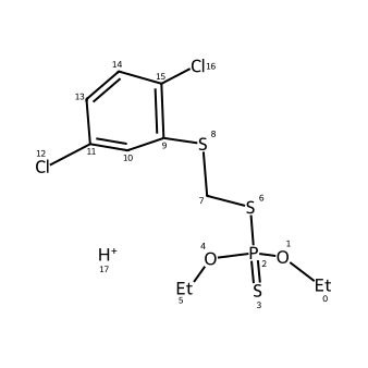 CCOP(=S)(OCC)SCSc1cc(Cl)ccc1Cl.[H+]